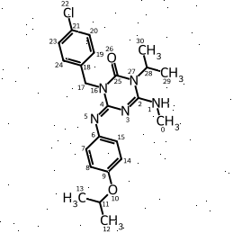 CNc1n/c(=N\c2ccc(OC(C)C)cc2)n(Cc2ccc(Cl)cc2)c(=O)n1C(C)C